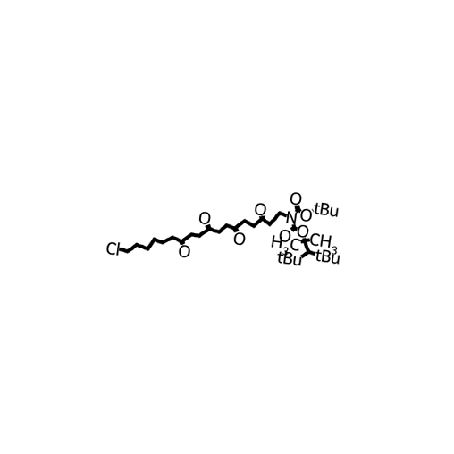 CC(C)(C)OC(=O)N(CCC(=O)CCC(=O)CCC(=O)CCC(=O)CCCCCCCl)C(=O)OC(C)(C)C(C(C)(C)C)C(C)(C)C